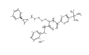 CC(C)(C)c1ccc(C(=O)NC(CCCCN[C@@H]2C[C@H]2c2ccccc2)C(=O)NCc2ccccc2)cc1.Cl